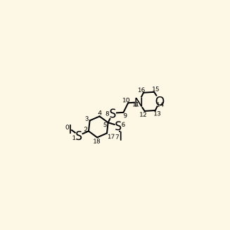 ISC1CCC(SI)(SCCN2CCOCC2)CC1